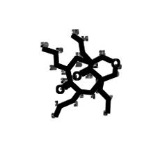 CCCC1CC2(CCC)COCC(CCC)(CC(CCC)C1=O)C2=O